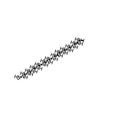 CNNNNNNNNNNNNNNNNNNNNNNNNNI